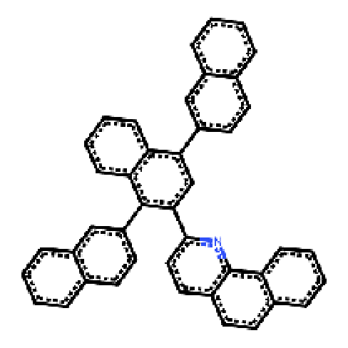 c1ccc2cc(-c3cc(-c4ccc5ccc6ccccc6c5n4)c(-c4ccc5ccccc5c4)c4ccccc34)ccc2c1